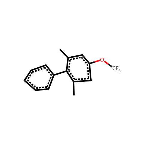 Cc1cc(OC(F)(F)F)cc(C)c1-c1ccccc1